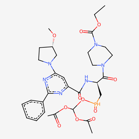 CCOC(=O)N1CCN(C(=O)[C@@H](C[PH](=O)OC(OC(C)=O)OC(C)=O)NC(=O)c2cc(N3CC[C@H](OC)C3)nc(-c3ccccc3)n2)CC1